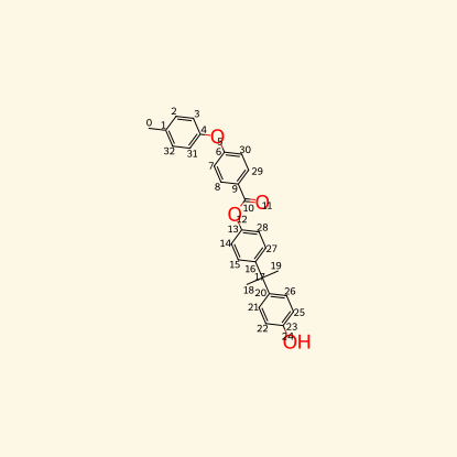 Cc1ccc(Oc2ccc(C(=O)Oc3ccc(C(C)(C)c4ccc(O)cc4)cc3)cc2)cc1